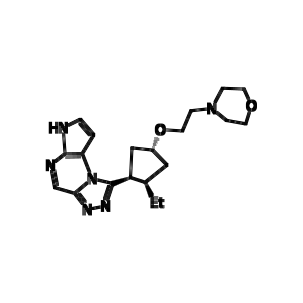 CC[C@@H]1C[C@@H](OCCN2CCOCC2)C[C@@H]1c1nnc2cnc3[nH]ccc3n12